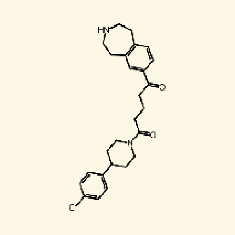 O=C(CCCC(=O)N1CCC(c2ccc(Cl)cc2)CC1)c1ccc2c(c1)CCNCC2